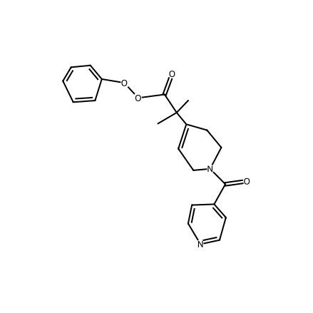 CC(C)(C(=O)OOc1ccccc1)C1=CCN(C(=O)c2ccncc2)CC1